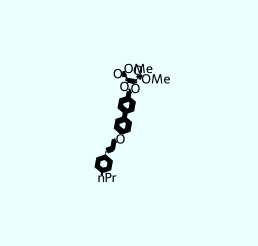 CCC[C@H]1CC[C@H](/C=C/COc2ccc(-c3ccc(C4O[C@@H](C(=O)OC)[C@H](C(=O)OC)O4)cc3)cc2)CC1